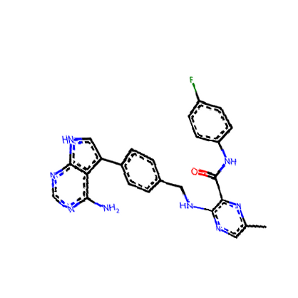 Cc1cnc(NCc2ccc(-c3c[nH]c4ncnc(N)c34)cc2)c(C(=O)Nc2ccc(F)cc2)n1